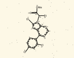 CCc1nc2c(-c3ccc(Cl)cc3Cl)ncnc2n1C(CC)C(=O)OC